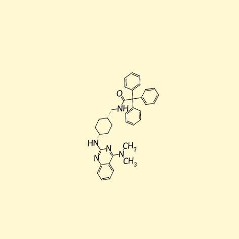 CN(C)c1nc(N[C@H]2CC[C@@H](CNC(=O)C(c3ccccc3)(c3ccccc3)c3ccccc3)CC2)nc2ccccc12